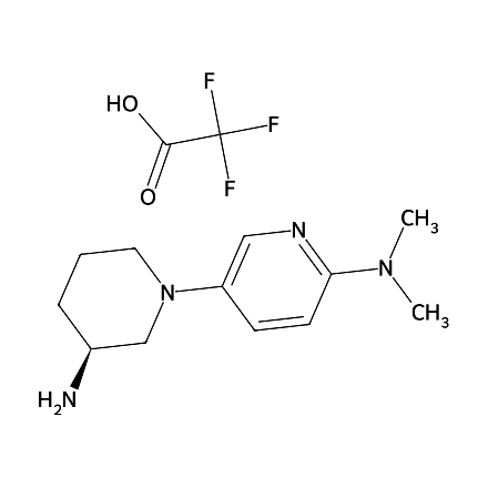 CN(C)c1ccc(N2CCC[C@H](N)C2)cn1.O=C(O)C(F)(F)F